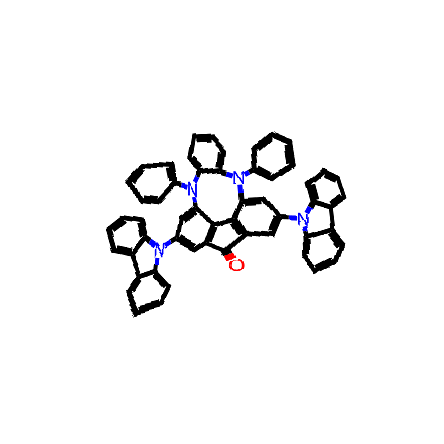 O=c1c2cc(-n3c4ccccc4c4ccccc43)cc3c2c2c1cc(-n1c4ccccc4c4ccccc41)cc2n(-c1ccccc1)c1ccccc1n3-c1ccccc1